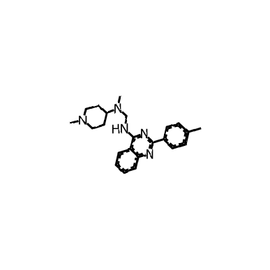 Cc1ccc(-c2nc(NCN(C)C3CCN(C)CC3)c3ccccc3n2)cc1